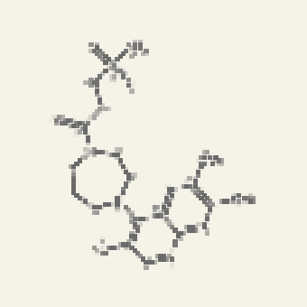 COc1cc2ncc(C#N)c(N3CCCN(C(=O)CNS(N)(=O)=O)CC3)c2cc1OC